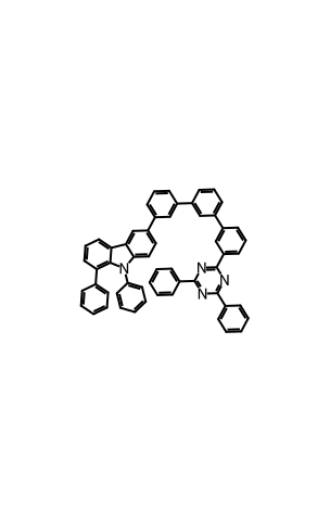 c1ccc(-c2nc(-c3ccccc3)nc(-c3cccc(-c4cccc(-c5cccc(-c6ccc7c(c6)c6cccc(-c8ccccc8)c6n7-c6ccccc6)c5)c4)c3)n2)cc1